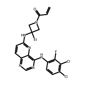 C=CC(=O)N1CC(CC)(Nc2ccc3ncnc(Nc4ccc(Cl)c(Cl)c4F)c3n2)C1